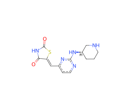 O=C1NC(=O)C(=Cc2ccnc(N[C@@H]3CCCNC3)n2)S1